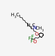 CCCCCCCCCCCC(CCOc1ccccc1CCC(=O)C(F)(F)F)N(C)C